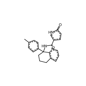 Cc1ccc(C2(NC(=O)c3ccc(=O)[nH]c3)CCCc3cccnc32)cc1